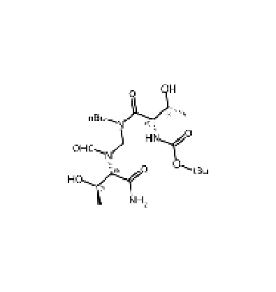 CCCCN(CN(C=O)[C@H](C(N)=O)[C@@H](C)O)C(=O)[C@@H](NC(=O)OC(C)(C)C)[C@@H](C)O